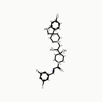 O=C(/C=C/c1cc(F)cc(F)c1)N1CCC(O)(C(O)CN2CCC3(CC2)CNc2cc(Cl)ccc23)CC1